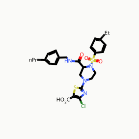 CCCc1ccc(CNC(=O)C2CN(c3nc(Cl)c(C(=O)O)s3)CCN2S(=O)(=O)c2ccc(CC)cc2)cc1